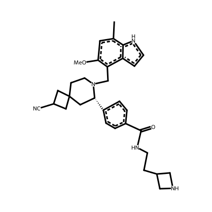 COc1cc(C)c2[nH]ccc2c1CN1CCC2(CC(C#N)C2)C[C@H]1c1ccc(C(=O)NCCC2CNC2)cc1